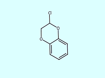 ClC1COc2ccccc2O1